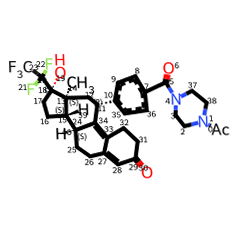 CC(=O)N1CCN(C(=O)c2ccc([C@H]3C[C@@]4(C)[C@@H](CC[C@@]4(O)C(F)(F)C(F)(F)F)[C@@H]4CCC5=CC(=O)CCC5=C43)cc2)CC1